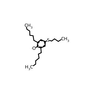 CCCCCCc1cc(SCCCC)cc(CCCCCC)c1[O]